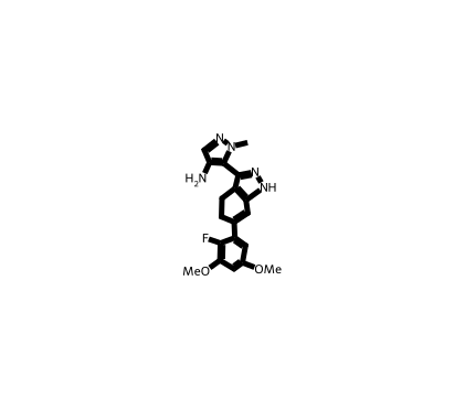 COc1cc(OC)c(F)c(C2=Cc3[nH]nc(-c4c(N)cnn4C)c3CC2)c1